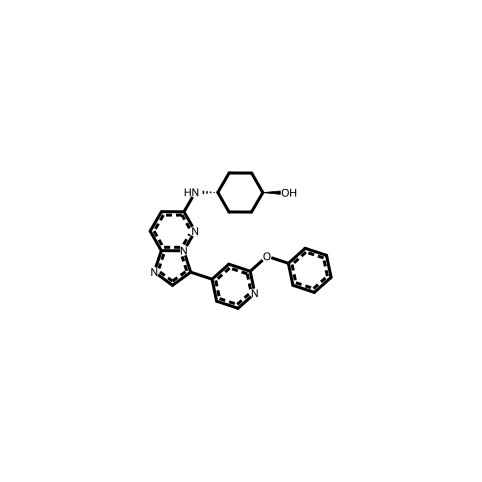 O[C@H]1CC[C@H](Nc2ccc3ncc(-c4ccnc(Oc5ccccc5)c4)n3n2)CC1